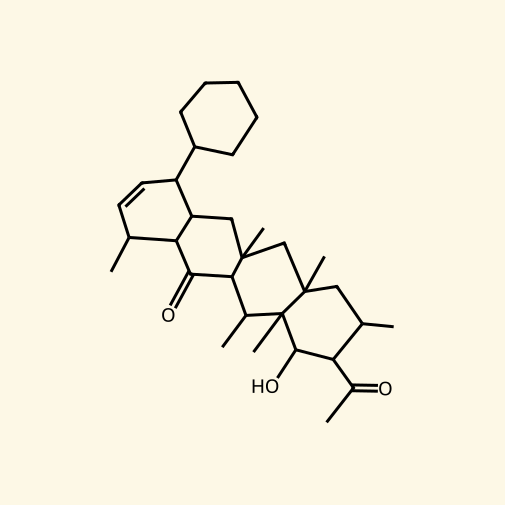 CC(=O)C1C(C)CC2(C)CC3(C)CC4C(C5CCCCC5)C=CC(C)C4C(=O)C3C(C)C2(C)C1O